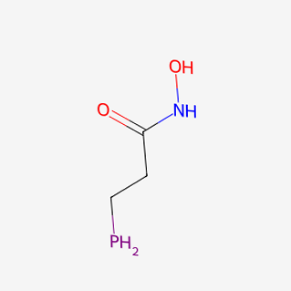 O=C(CCP)NO